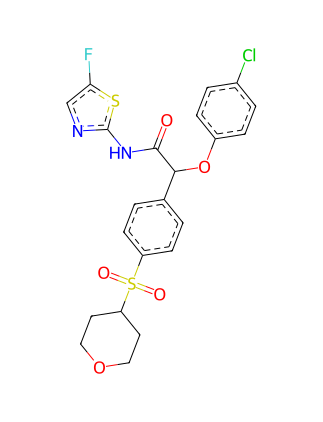 O=C(Nc1ncc(F)s1)C(Oc1ccc(Cl)cc1)c1ccc(S(=O)(=O)C2CCOCC2)cc1